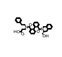 O=C(O)CCN(CCc1ccccc1)C(=O)c1ccccc1-c1ccccc1C(=O)N1Cc2ccccc2C[C@H]1CO